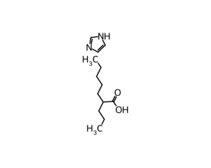 CCCCCC(CCC)C(=O)O.c1c[nH]cn1